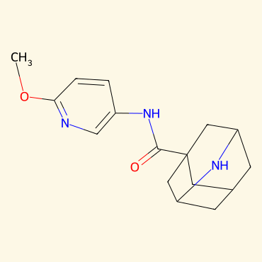 COc1ccc(NC(=O)C23CC4CC(C2)NC(C4)C3)cn1